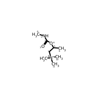 CNC(=O)OC(C)C[N+](C)(C)C